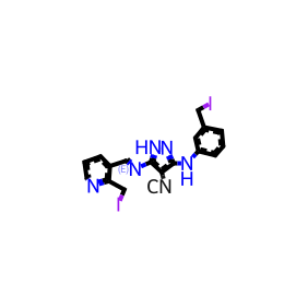 N#Cc1c(Nc2cccc(CI)c2)n[nH]c1/N=C/c1cccnc1CI